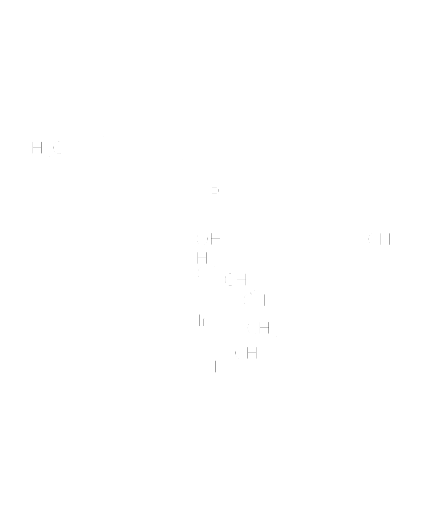 CCCCP(O)CCCC.[CH3][Ir]([CH3])([CH3])([CH3])([CH3])([I])([I])[C]1=CC=CC1